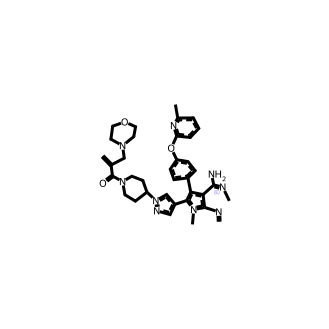 C=Nc1c(/C(N)=N\C)c(-c2ccc(Oc3cccc(C)n3)cc2)c(-c2cnn(C3CCN(C(=O)C(=C)CN4CCOCC4)CC3)c2)n1C